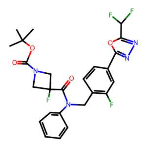 CC(C)(C)OC(=O)N1CC(F)(C(=O)N(Cc2ccc(-c3nnc(C(F)F)o3)cc2F)c2ccccc2)C1